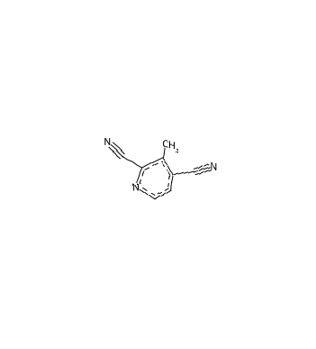 Cc1c(C#N)ccnc1C#N